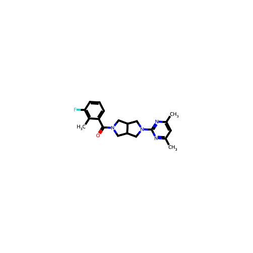 Cc1cc(C)nc(N2CC3CN(C(=O)c4cccc(F)c4C)CC3C2)n1